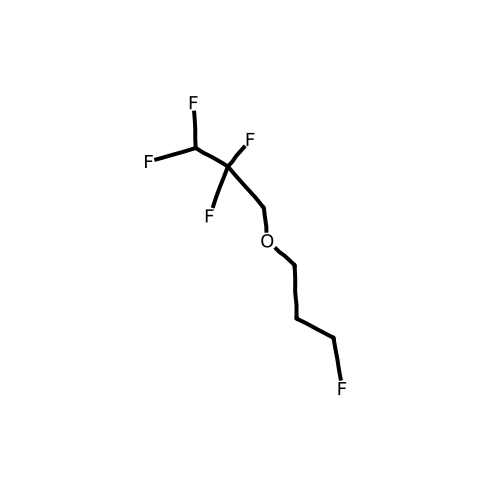 FCCCOCC(F)(F)C(F)F